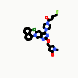 CN1CC(COc2nc3c(c(N4CCN(C(=O)/C=C/CF)CC4)n2)CCN(c2cccc4cccc(Cl)c24)C3)CC1=O